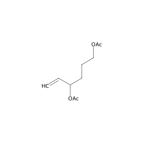 [CH]=CC(CCCOC(C)=O)OC(C)=O